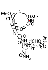 C=C(CBr)C(=O)OC(C)CCCC(C=O)N[C@H](C(=O)N[C@@H](CCCNC(N)=O)C(=O)Nc1ccc(C(=O)N(C)[C@@H](C)C(=O)O[C@H]2CC(=O)N(C)c3cc(cc(OC)c3Cl)C/C(C)=C/C=C/[C@@H](OC)[C@@]3(O)C[C@H](OC(=O)N3)[C@@H](C)[C@@H]3O[C@@]23C)cc1O)C(C)C